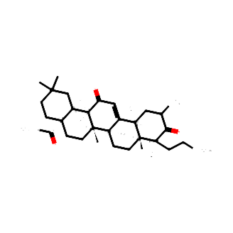 COCC[C@]1(C)C(=O)C(C#N)C[C@]2(C)C3=CC(=O)[C@@H]4[C@@H]5CC(C)(C)CC[C@]5(C(=O)OC)CC[C@@]4(C)[C@]3(C)CC[C@@H]12